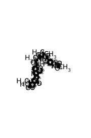 CC[C@@]1(O)C(=O)OCc2c1cc1n(c2=O)Cc2c-1nc1ccc(NC(=O)[C@H](C)NC(=O)[C@@H](NC(=O)c3cc4sc(S(C)(=O)=O)nc4cc3F)C(C)C)c3c1c2CCO3